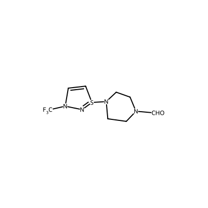 O=CN1CCN(S2=NN(C(F)(F)F)C=C2)CC1